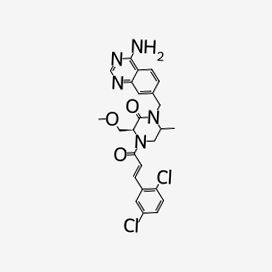 COC[C@H]1C(=O)N(Cc2ccc3c(N)ncnc3c2)C(C)CN1C(=O)C=Cc1cc(Cl)ccc1Cl